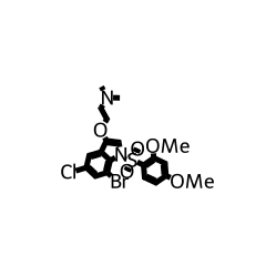 COc1ccc(S(=O)(=O)n2cc(OCCN(C)C)c3cc(Cl)cc(Br)c32)c(OC)c1